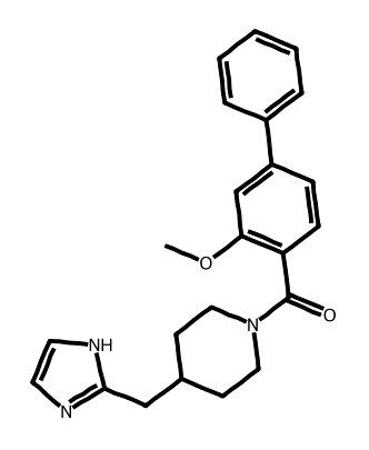 COc1cc(-c2ccccc2)ccc1C(=O)N1CCC(Cc2ncc[nH]2)CC1